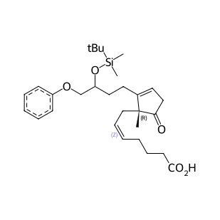 CC(C)(C)[Si](C)(C)OC(CCC1=CCC(=O)[C@]1(C)C/C=C\CCCC(=O)O)COc1ccccc1